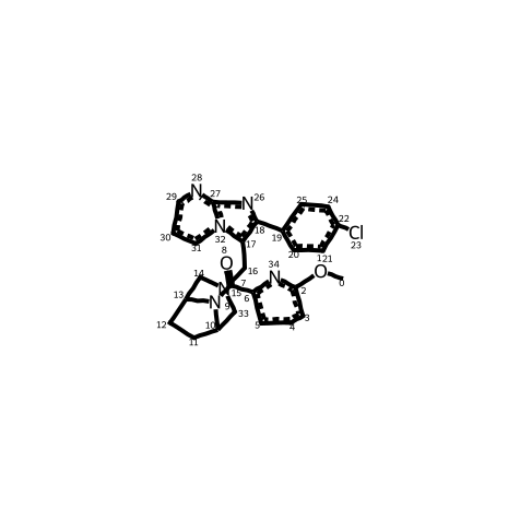 COc1cccc(C(=O)N2C3CCC2CN(Cc2c(-c4ccc(Cl)cc4)nc4ncccn24)C3)n1